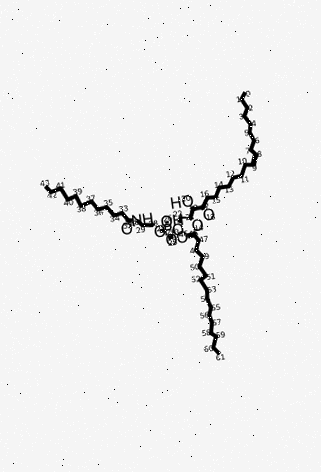 CCCCCCCC/C=C\CCCCCCCC(=O)C(O)[C@H](COP(=O)(O)OCCNC(=O)CCCCCCCCCCC)OC(=O)CCCCCCCCCCCCCCC